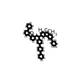 CC1(C)c2ccc(/C(=C/c3cccc4c3oc3c(-c5ccccc5)cccc34)c3ccc(-c4ccc(-c5ccccc5)cc4)cc3)cc2-c2cc(-c3ccccc3)ccc21